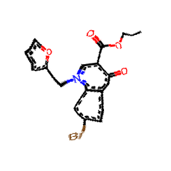 CCOC(=O)c1cn(Cc2ccco2)c2cc(Br)ccc2c1=O